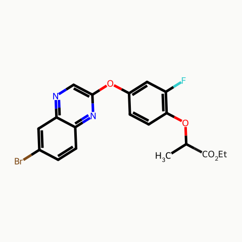 CCOC(=O)C(C)Oc1ccc(Oc2cnc3cc(Br)ccc3n2)cc1F